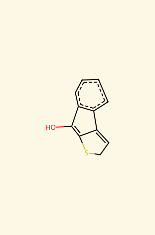 OC1=C2SCC=C2c2ccccc21